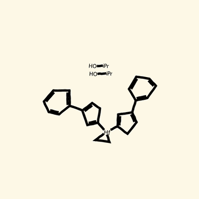 C1=C(c2ccccc2)C=[C]([Hf]2([C]3=CC(c4ccccc4)=CC3)[CH2][CH2]2)C1.CC(C)O.CC(C)O